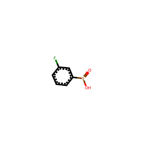 O=S(O)c1cccc(F)c1